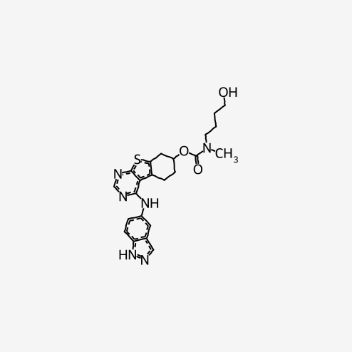 CN(CCCCO)C(=O)OC1CCc2c(sc3ncnc(Nc4ccc5[nH]ncc5c4)c23)C1